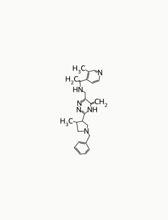 C=C1NC(C2CN(Cc3ccccc3)CC2C)=NN=C1CNC(=C)c1ccncc1C